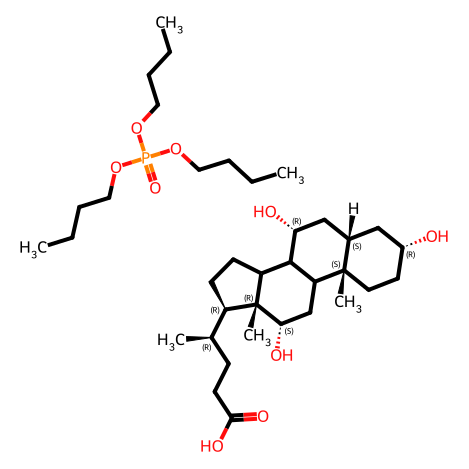 CCCCOP(=O)(OCCCC)OCCCC.C[C@H](CCC(=O)O)[C@H]1CCC2C3C(C[C@H](O)[C@@]21C)[C@@]1(C)CC[C@@H](O)C[C@H]1C[C@H]3O